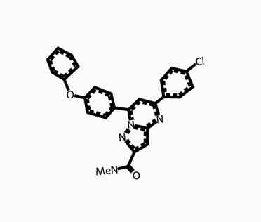 CNC(=O)c1cc2nc(-c3ccc(Cl)cc3)cc(-c3ccc(Oc4ccccc4)cc3)n2n1